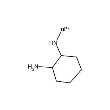 CCCNC1CCCCC1N